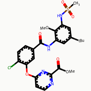 COC(=O)c1nccc(Oc2cc(C(=O)Nc3cc(C(C)(C)C)cc(NS(C)(=O)=O)c3OC)ccc2Cl)n1